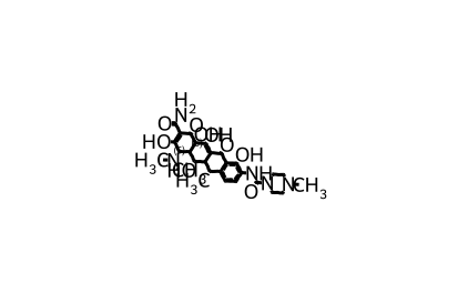 CC1c2ccc(NC(=O)N3CCN(C)CC3)c(O)c2C(=O)C2=C(O)[C@]3(O)C(=O)C(C(N)=O)=C(O)[C@@H](N(C)C)C3C(O)C21